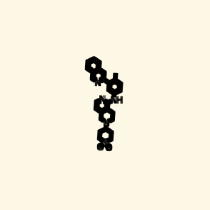 Cc1ccc(Nc2nccc3c2CCN(C2CCS(=O)(=O)CC2)C3)cc1-c1cc2ccccc2cn1